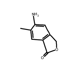 Cc1cc2c(cc1N)COC2=O